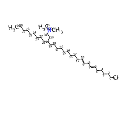 CCCCCCC=CCC=CCCCCCCCCCC(CCCCCCCCC)CCN(C)C